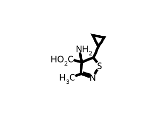 CC1=NSC(C2CC2)C1(N)C(=O)O